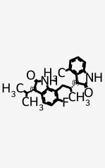 Cc1cccc2c1[C@@H](C(C)Cc1c(F)ccc3c1NC(=O)[C@@H]3C(C)C)C(=O)N2